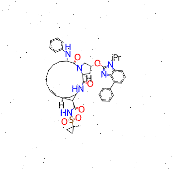 CC(C)n1c(O[C@@H]2C[C@H]3C(=O)NC4C[C@@H](/C=C\CCCCC[C@H](Nc5ccccc5)C(=O)N3C2)[C@@H]4C(=O)NS(=O)(=O)C2(C)CC2)nc2c(-c3ccccc3)cccc21